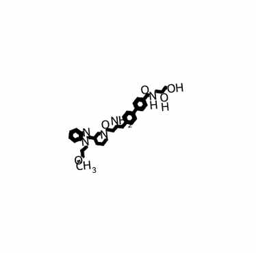 COCCCn1c(C2CCCN(C(=O)CC(N)Cc3ccc(-c4ccc(C(=O)NCC(O)CO)cc4)cc3)C2)nc2ccccc21